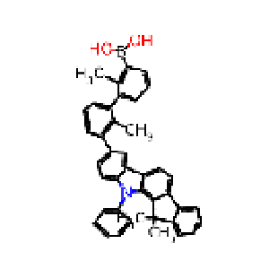 Cc1c(B(O)O)cccc1-c1cccc(-c2ccc3c(c2)c2ccc4c(c2n3-c2ccccc2)C(C)(C)c2ccccc2-4)c1C